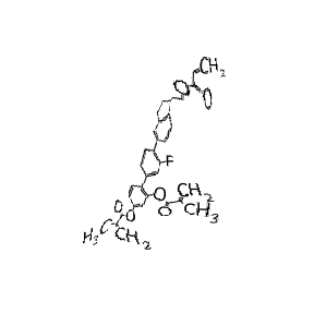 C=CC(=O)OCC1CCc2cc(-c3ccc(-c4ccc(OC(=O)C(=C)C)cc4OC(=O)C(=C)C)cc3F)ccc21